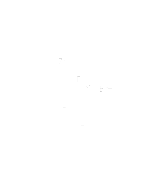 Br.FC(F)=C(F)Br.FC(F)=[C](F)[Zn]